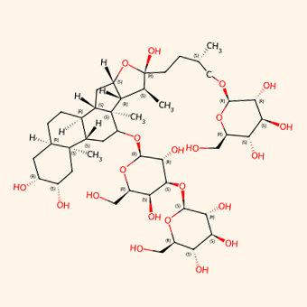 C[C@@H](CC[C@@]1(O)O[C@H]2C[C@H]3[C@@H]4CC[C@@H]5C[C@@H](O)[C@@H](O)C[C@]5(C)[C@H]4CC(O[C@@H]4O[C@H](CO)[C@H](O)[C@H](O[C@@H]5O[C@H](CO)[C@@H](O)[C@H](O)[C@H]5O)[C@H]4O)[C@]3(C)[C@H]2[C@@H]1C)CO[C@@H]1O[C@H](CO)[C@@H](O)[C@H](O)[C@H]1O